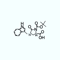 CC(C)(C)OC(=O)N1C(=O)[C@@H](Cc2c[nH]c3ccccc23)C[C@@H]1C(=O)O